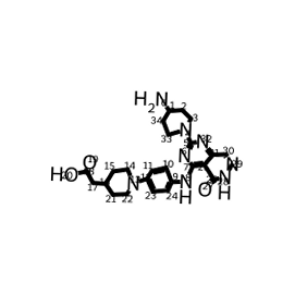 NC1CCN(c2nc(Nc3ccc(N4CCC(CC(=O)O)CC4)cc3)c3c(=O)[nH]ncc3n2)CC1